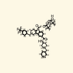 CC(=O)n1c2c(c3cc(C(=O)NC4CCN(Cc5cccnc5)CC4)ccc31)CN(Cc1ccc(C(F)(F)F)cc1)CC2.O=C(O)C(F)(F)F.O=C(O)C(F)(F)F